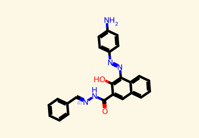 Nc1ccc(N=Nc2c(O)c(C(=O)N/N=C/c3ccccc3)cc3ccccc23)cc1